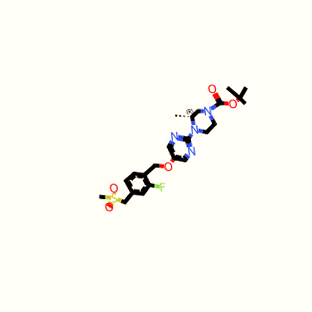 C[C@@H]1CN(C(=O)OC(C)(C)C)CCN1c1ncc(OCc2ccc(CS(C)(=O)=O)cc2F)cn1